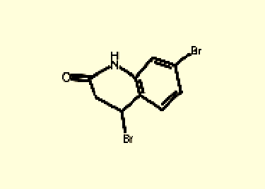 O=C1CC(Br)c2ccc(Br)cc2N1